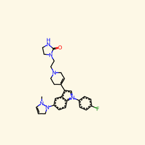 CN1C=CCN1c1ccc2c(c1)c(C1=CCN(CCN3CCNC3=O)CC1)cn2-c1ccc(F)cc1